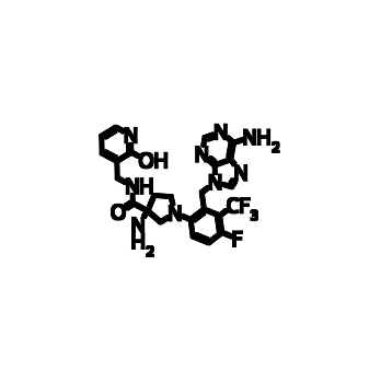 Nc1ncnc2c1ncn2Cc1c(N2CCC(N)(C(=O)NCc3cccnc3O)C2)ccc(F)c1C(F)(F)F